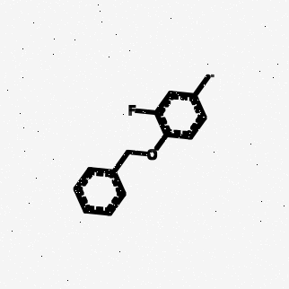 [CH2]c1ccc(OCc2ccccc2)c(F)c1